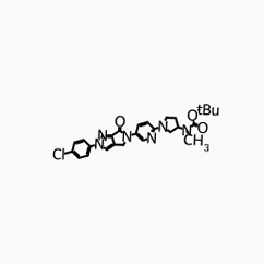 CN(C(=O)OC(C)(C)C)C1CCN(c2ccc(N3Cc4cn(-c5ccc(Cl)cc5)nc4C3=O)cn2)C1